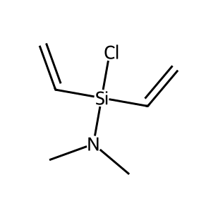 C=C[Si](Cl)(C=C)N(C)C